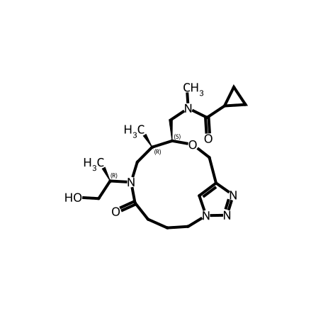 C[C@@H]1CN([C@H](C)CO)C(=O)CCCn2cc(nn2)CO[C@@H]1CN(C)C(=O)C1CC1